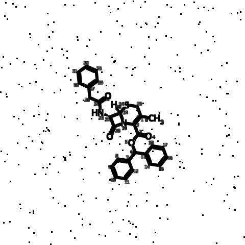 CC1=C(C(=O)OC(c2ccccc2)c2ccccc2)N2C(=O)[C@H](NC(=O)Cc3ccccc3)[C@@H]2SC1